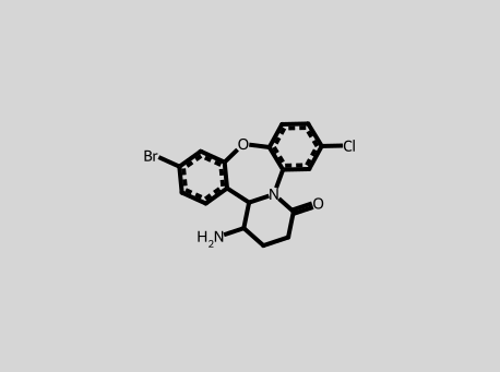 NC1CCC(=O)N2c3cc(Cl)ccc3Oc3cc(Br)ccc3C12